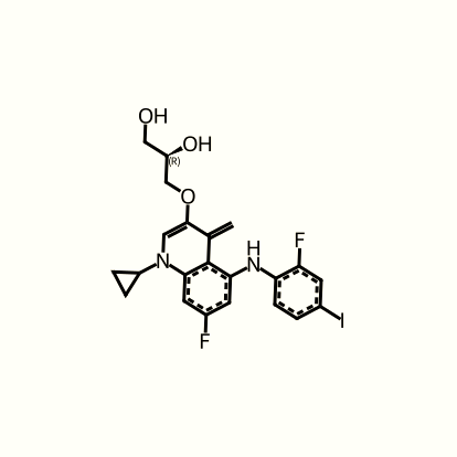 C=C1C(OC[C@H](O)CO)=CN(C2CC2)c2cc(F)cc(Nc3ccc(I)cc3F)c21